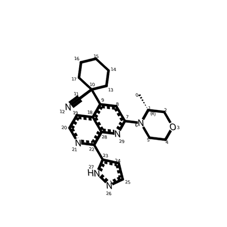 C[C@@H]1COCCN1c1cc(C2(C#N)CCCCC2)c2ccnc(-c3ccn[nH]3)c2n1